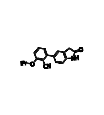 CC(C)Oc1cccc(-c2ccc3c(c2)CC(=O)N3)c1C#N